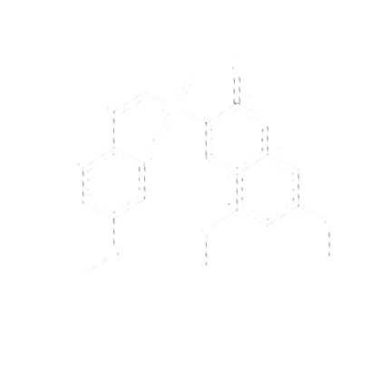 COc1ccc(/C=C\S(=O)(=O)c2cc3c(OC)cc(OC)cc3sc2=O)cc1